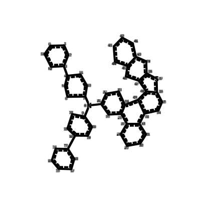 c1ccc(-c2ccc(N(c3ccc(-c4ccccc4)cc3)c3ccc4c(c3)c3ccccc3c3ccc5sc6cc7ccccc7cc6c5c34)cc2)cc1